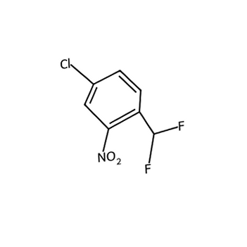 O=[N+]([O-])c1cc(Cl)ccc1C(F)F